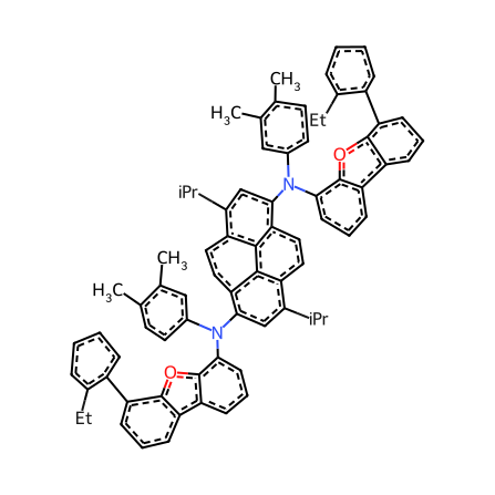 CCc1ccccc1-c1cccc2c1oc1c(N(c3ccc(C)c(C)c3)c3cc(C(C)C)c4ccc5c(N(c6ccc(C)c(C)c6)c6cccc7c6oc6c(-c8ccccc8CC)cccc67)cc(C(C)C)c6ccc3c4c65)cccc12